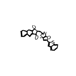 O=C1C(=Cc2nc3oc(-c4cc5ccccc5s4)cc3s2)C(=O)c2cc3ccccc3cc21